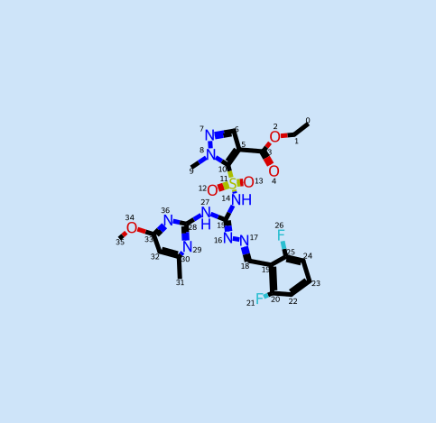 CCOC(=O)c1cnn(C)c1S(=O)(=O)NC(=NN=Cc1c(F)cccc1F)Nc1nc(C)cc(OC)n1